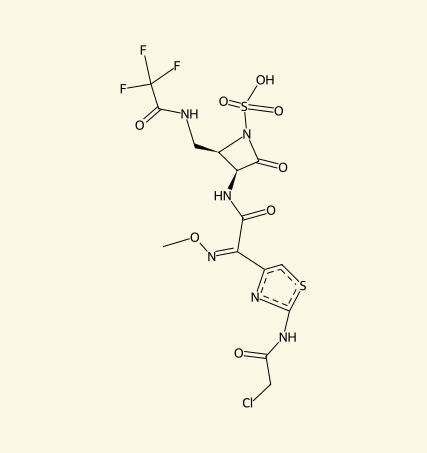 CON=C(C(=O)N[C@@H]1C(=O)N(S(=O)(=O)O)[C@@H]1CNC(=O)C(F)(F)F)c1csc(NC(=O)CCl)n1